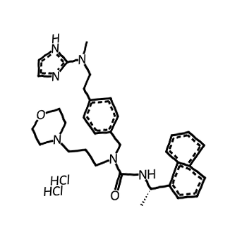 C[C@H](NC(=O)N(CCCN1CCOCC1)Cc1ccc(CCN(C)c2ncc[nH]2)cc1)c1cccc2ccccc12.Cl.Cl